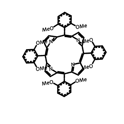 COc1cccc(OC)c1C1=C2C=CC(=N2)C(c2c(OC)cccc2OC)=C2C=CC(=N2)C(c2c(OC)cccc2OC)=C2C=CC(=N2)C(c2c(OC)cccc2OC)=C2C=CC1=N2